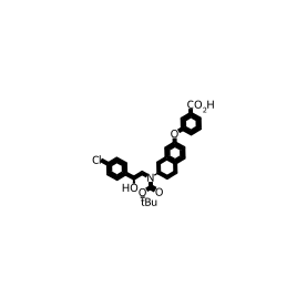 CC(C)(C)OC(=O)N(C[C@@H](O)c1ccc(Cl)cc1)[C@H]1CCc2ccc(Oc3cccc(C(=O)O)c3)cc2C1